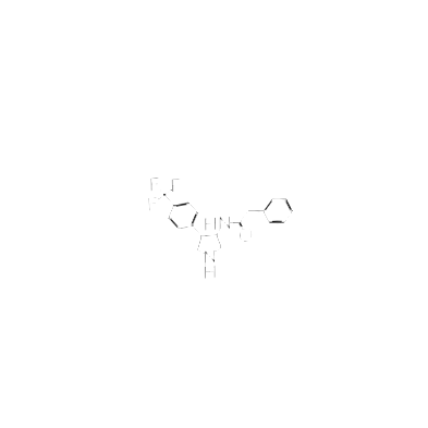 O=C(Cc1ccccc1)NC1CNCC1c1ccc(C(F)(F)F)cc1